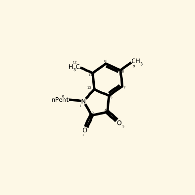 CCCCCN1C(=O)C(=O)C2=CC(C)=CC(C)C21